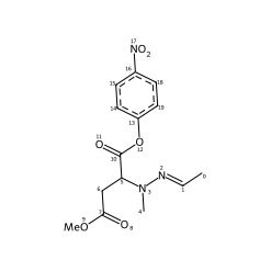 CC=NN(C)C(CC(=O)OC)C(=O)Oc1ccc([N+](=O)[O-])cc1